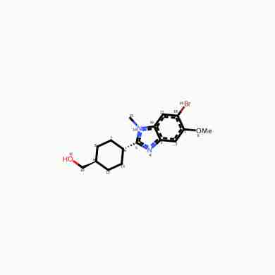 COc1cc2nc([C@H]3CC[C@H](CO)CC3)n(C)c2cc1Br